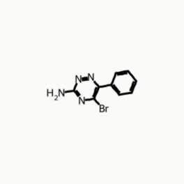 Nc1nnc(-c2ccccc2)c(Br)n1